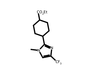 CCOC(=O)C1CCC(c2nc(C(F)(F)F)cn2C)CC1